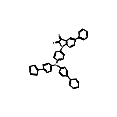 O=C1C(=O)N(c2ccc(N(c3ccc(-c4ccccc4)cc3)c3ccc(-c4ccccc4)cc3)cc2)c2ccc(-c3ccccc3)cc21